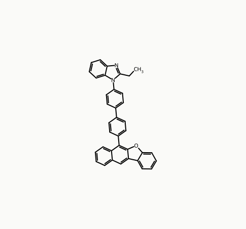 CCc1nc2ccccc2n1-c1ccc(-c2ccc(-c3c4ccccc4cc4c3oc3ccccc34)cc2)cc1